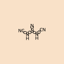 N#Cc1ccc2[nH]c3cc4c5cc6[nH]c7ccc(C#N)cc7c6cc5n(-c5ccncc5)c4cc3c2c1